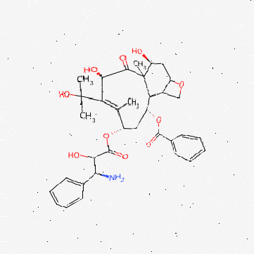 C/C1=C(/C(C)(C)O)[C@@H](O)C(=O)C2(C)C(C3COC3C[C@@H]2O)[C@H](OC(=O)c2ccccc2)C[C@@H]1OC(=O)C(O)[C@@H](N)c1ccccc1